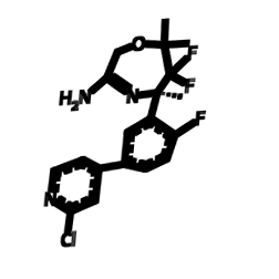 CC1(C)OCC(N)=N[C@](C)(c2cc(-c3ccnc(Cl)c3)ccc2F)C1(F)F